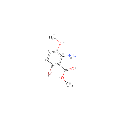 COC(=O)c1c(Br)ccc(OC)c1N